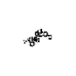 O=C(c1cccn1Cc1cc(Cl)ccc1Cl)N1CCN(C2CC2)c2ccccc21